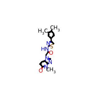 Cc1ccc(-c2csc(NC(=O)Cn3cnc4c3ccc(=O)n4C)n2)cc1C